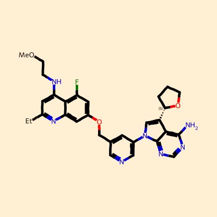 CCc1cc(NCCOC)c2c(F)cc(OCc3cncc(-n4cc([C@@H]5CCCO5)c5c(N)ncnc54)c3)cc2n1